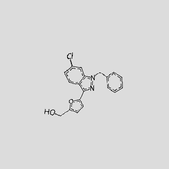 OCc1ccc(-c2nn(Cc3ccccc3)c3cc(Cl)ccc23)o1